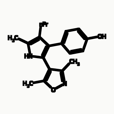 CCCc1c(C)[nH]c(-c2c(C)noc2C)c1-c1ccc(O)cc1